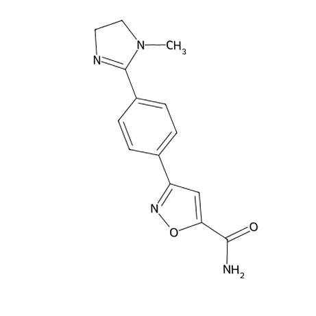 CN1CCN=C1c1ccc(-c2cc(C(N)=O)on2)cc1